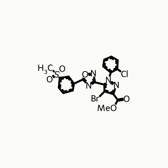 COC(=O)c1nn(-c2ccccc2Cl)c(-c2noc(-c3cccc(S(C)(=O)=O)c3)n2)c1Br